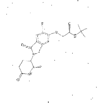 CC(C)(C)OC(=O)COc1cc2c(cc1F)C(=O)N(C1CCC(=O)NC1=O)C2